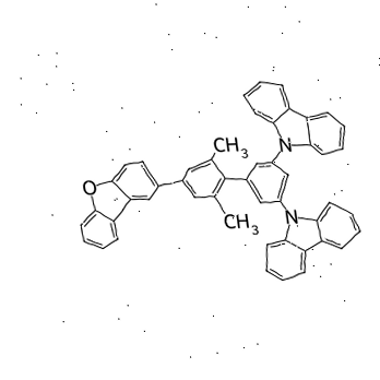 Cc1cc(-c2ccc3oc4ccccc4c3c2)cc(C)c1-c1cc(-n2c3ccccc3c3ccccc32)cc(-n2c3ccccc3c3ccccc32)c1